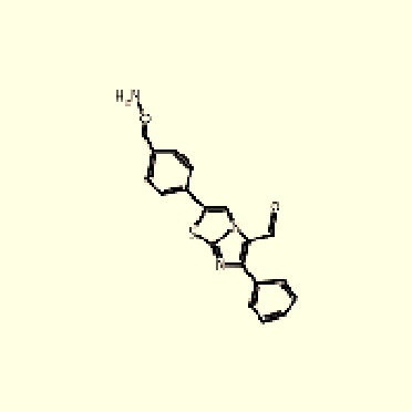 NOCc1ccc(-c2cn3c(C=O)c(-c4ccccc4)nc3s2)cc1